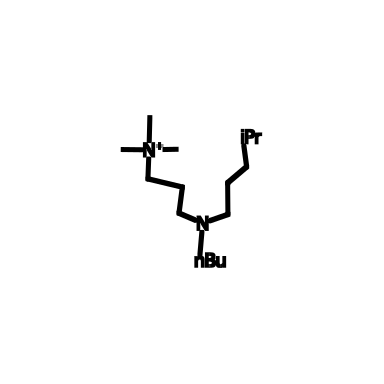 CCCCN(CCCC(C)C)CCC[N+](C)(C)C